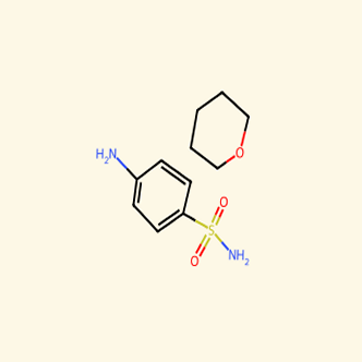 C1CCOCC1.Nc1ccc(S(N)(=O)=O)cc1